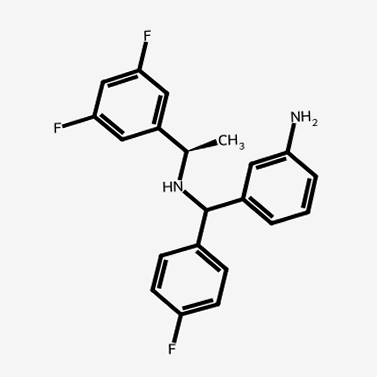 C[C@@H](NC(c1ccc(F)cc1)c1cccc(N)c1)c1cc(F)cc(F)c1